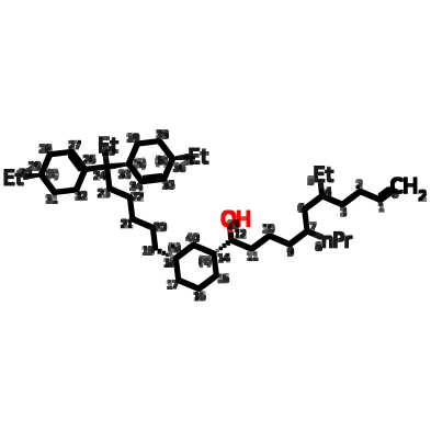 C=CCCC(CC)CC(CCC)CCCC(O)[C@@H]1CCC[C@H](CCCCCC(CC)(C2=CC[C@H](CC)CC2)[C@@H]2C=C[C@H](CC)CC2)C1